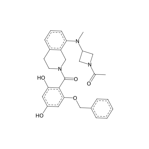 CC(=O)N1CC(N(C)c2cccc3c2CN(C(=O)c2c(O)cc(O)cc2OCc2ccccc2)CC3)C1